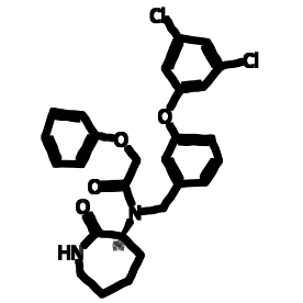 O=C1NCCCC[C@@H]1N(Cc1cccc(Oc2cc(Cl)cc(Cl)c2)c1)C(=O)COc1ccccc1